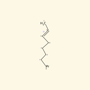 [CH2]C(C)CCCC/C=C/C